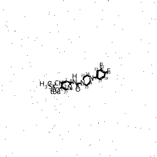 CC(C)(C)[Si](C)(C)Oc1ccc(NC(=O)N2CCN(c3ccc(F)c(F)c3)CC2)nc1